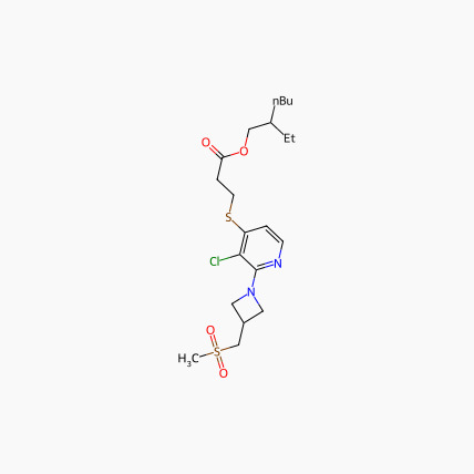 CCCCC(CC)COC(=O)CCSc1ccnc(N2CC(CS(C)(=O)=O)C2)c1Cl